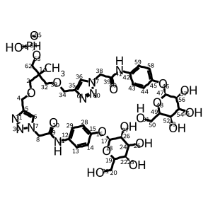 CC(COCc1cn(CC(=O)Nc2ccc(O[C@@H]3OC(CO)[C@H](O)C(O)[C@@H]3O)cc2)nn1)(COCc1cn(CC(=O)Nc2ccc(O[C@@H]3OC(CO)[C@H](O)C(O)[C@@H]3O)cc2)nn1)CO[PH](=O)O